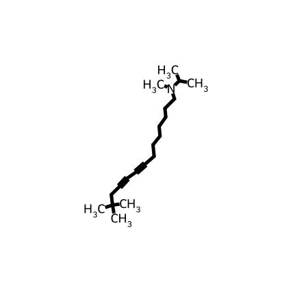 CC(C)N(C)CCCCCCCC#CC#CCC(C)(C)C